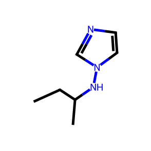 CCC(C)Nn1ccnc1